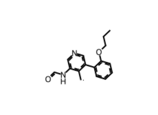 [CH2]c1c(NC=O)cncc1-c1ccccc1OCCC